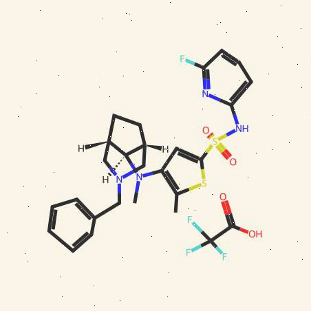 Cc1sc(S(=O)(=O)Nc2cccc(F)n2)cc1N(C)[C@@H]1[C@@H]2CC[C@H]1CN(Cc1ccccc1)C2.O=C(O)C(F)(F)F